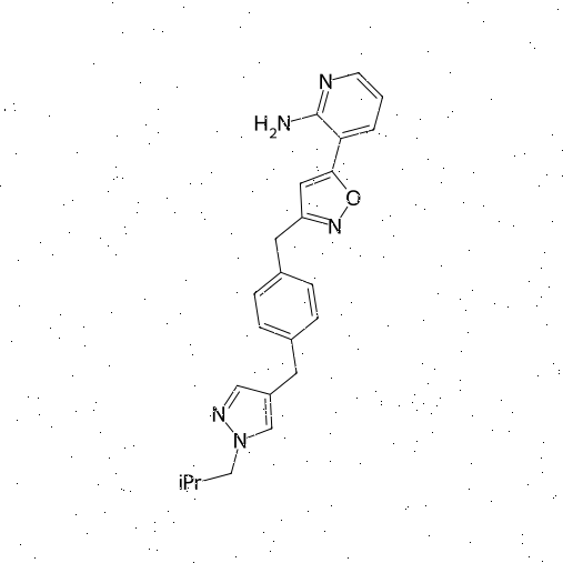 CC(C)Cn1cc(Cc2ccc(Cc3cc(-c4cccnc4N)on3)cc2)cn1